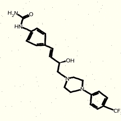 NC(=O)Nc1ccc(/C=C/[C@@H](O)CN2CCN(c3ccc(C(F)(F)F)cc3)CC2)cc1